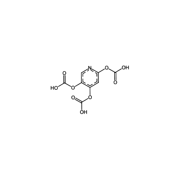 O=C(O)Oc1cc(OC(=O)O)c(OC(=O)O)cn1